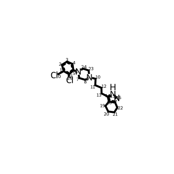 Clc1cccc(N2CCN(CCCCc3[nH]nc4c3CCCC4)CC2)c1Cl